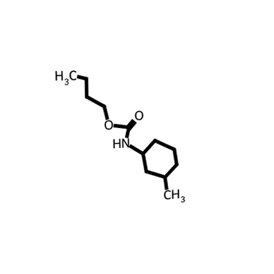 CCCCOC(=O)NC1CCCC(C)C1